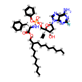 C#C[C@]1(COP(=O)(N[C@@H](Cc2ccccc2)C(=O)OCC(CCCCCCCC)CCCCCCCC)Oc2ccccc2)O[C@@H](n2cnc3c(N)nc(F)nc32)C[C@@H]1O